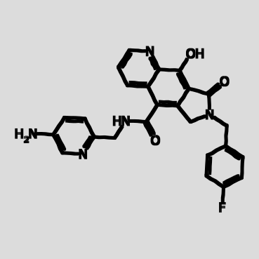 Nc1ccc(CNC(=O)c2c3c(c(O)c4ncccc24)C(=O)N(Cc2ccc(F)cc2)C3)nc1